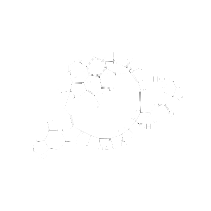 CC(=O)OC1C(C)C(OC2CC3OCOC3C(C)O2)/C=C/CC2(C)OC3=C(C)C(=O)c4c(O)c(cc5c4C3=C2OCO5)NC(=O)/C(C)=C\C=C\C(C(C)OC(=O)C(C)(C)CC(=O)O)C(O)C(C)C(O)C1C